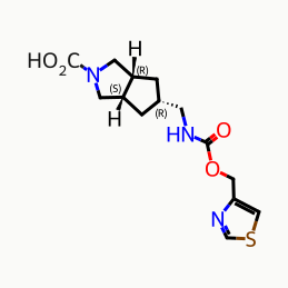 O=C(NC[C@@H]1C[C@@H]2CN(C(=O)O)C[C@@H]2C1)OCc1cscn1